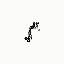 CCSC(SCC)[C@@H]1CCCN1C(=O)c1cc(C)c(OCCN2CCN(C(=S)SCCC(C#N)(c3ccccc3)c3ccccc3)CC2)cc1N